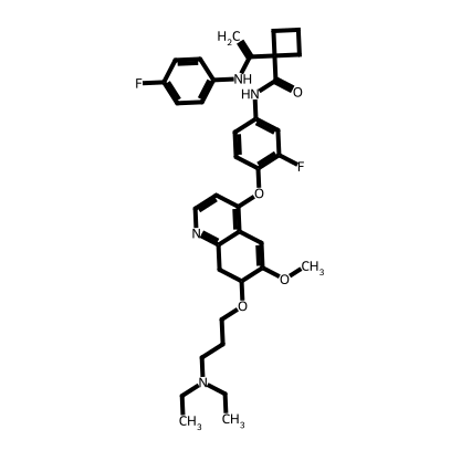 C=C(Nc1ccc(F)cc1)C1(C(=O)Nc2ccc(Oc3ccnc4c3C=C(OC)C(OCCCN(CC)CC)C4)c(F)c2)CCC1